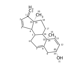 C=C1C=CC2C3CC=C4C[C@@H](O)C=C[C@]4(C)C3CC[C@]12C